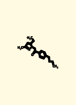 [CH2]Cc1cc(C)nn1CC(=O)c1ccc(CCCC)cc1